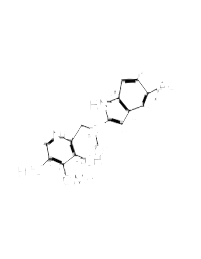 COc1c(C)cnc(C[S+]([O-])c2cc3cc(C(C)=O)ccc3[nH]2)c1C